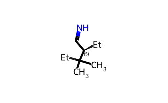 [CH2]CC(C)(C)[C@@H](C=N)CC